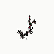 CC[C@@]1(O)C(=O)OCc2c1cc1n(c2=O)Cc2c-1nc1cc(F)c(C)c3c1c2[C@@H](NC(=O)CCCNC(=O)CNC(=O)C(Cc1ccccc1)NC(=O)CNC(=O)CNC(=O)CN(CCOCCOCCOCCO)C(=O)CCCCCN1C(=O)C=CC1=O)CC3